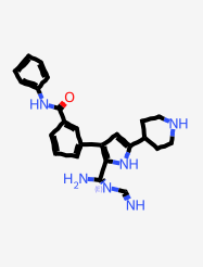 N=C/N=C(/N)c1[nH]c(C2CCNCC2)cc1-c1cccc(C(=O)Nc2ccccc2)c1